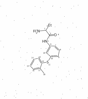 CCC(N)C(=O)Nc1cccc(Sc2ccccc2C)c1